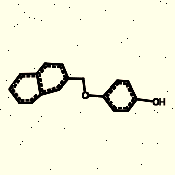 Oc1ccc(OCc2ccc3ccccc3c2)cc1